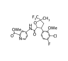 COC(=O)c1cc(NC(=O)C2OC(C)(C(F)(F)F)CC2c2ccc(F)c(Cl)c2OC)ccn1